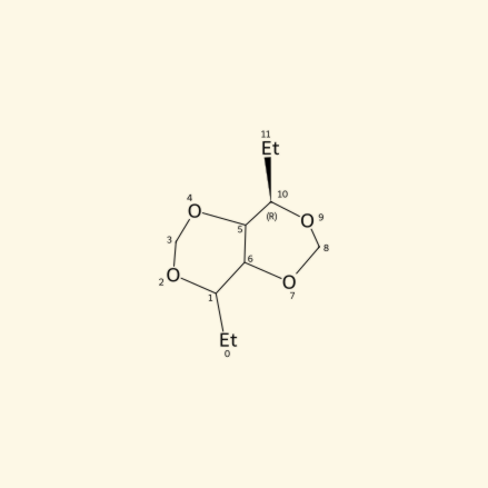 CCC1OCOC2C1OCO[C@@H]2CC